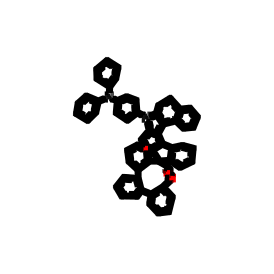 c1ccc(N(c2ccccc2)c2ccc(-n3c4ccc5c(c4c4c6ccccc6ccc43)-c3ccccc3C53c4ccccc4-c4ccccc4-c4ccccc4-c4ccccc43)cc2)cc1